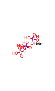 O=P(O)(O)O.O=P(O)(O)OP(=O)(O)O.[Mn]